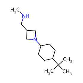 CNCC1CN(C2CCC(C(C)(C)C)CC2)C1